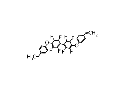 C=Cc1ccc(Oc2c(F)c(F)c(-c3c(F)c(F)c(Oc4ccc(CC)cc4)c(F)c3F)c(F)c2F)cc1